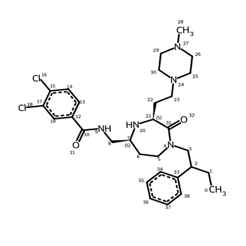 CCC(CN1CC[C@@H](CNC(=O)c2ccc(Cl)c(Cl)c2)N[C@@H](CCN2CCN(C)CC2)C1=O)c1ccccc1